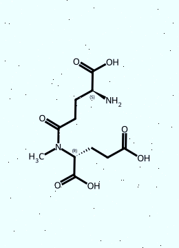 CN(C(=O)CC[C@H](N)C(=O)O)[C@H](CCC(=O)O)C(=O)O